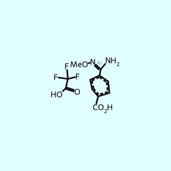 CO/N=C(/N)c1ccc(C(=O)O)cc1.O=C(O)C(F)(F)F